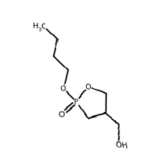 CCCCOP1(=O)CC(CO)CO1